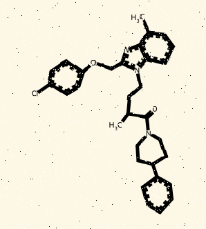 Cc1cccc2c1nc(COc1ccc(Cl)cc1)n2CCC(C)C(=O)N1CCC(c2ccccc2)CC1